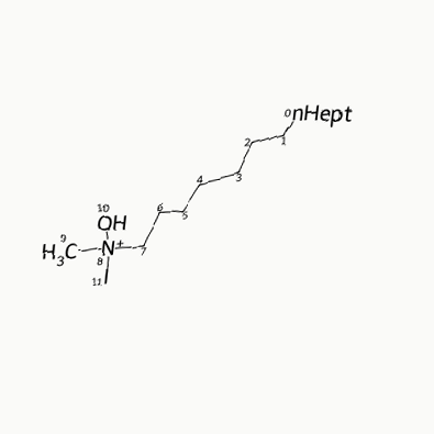 CCCCCCCCCCCCCC[N+](C)(O)I